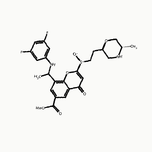 COC(=O)c1cc(C(C)Nc2cc(F)cc(F)c2)c2oc([S+]([O-])CCC3CN[C@@H](C)CO3)cc(=O)c2c1